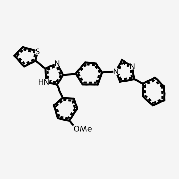 COc1ccc(-c2[nH]c(-c3cccs3)nc2-c2ccc(-n3cnc(-c4ccccc4)c3)cc2)cc1